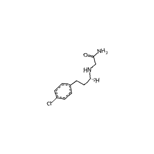 [2H][C@H](CCc1ccc(Cl)cc1)NCC(N)=O